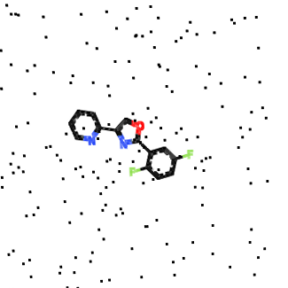 Fc1ccc(F)c(-c2nc(-c3ccccn3)co2)c1